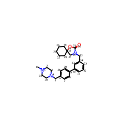 CN1CCN(Cc2ccc(-c3cccc(CN4CC5(CCCCC5)OC4=O)c3)cc2)CC1